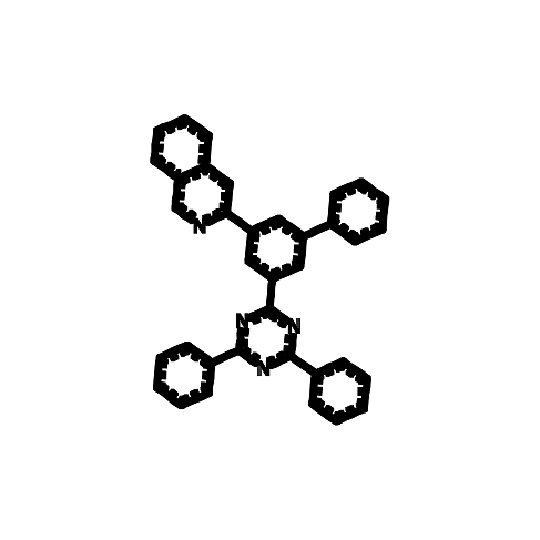 c1ccc(-c2cc(-c3cc4ccccc4cn3)cc(-c3nc(-c4ccccc4)nc(-c4ccccc4)n3)c2)cc1